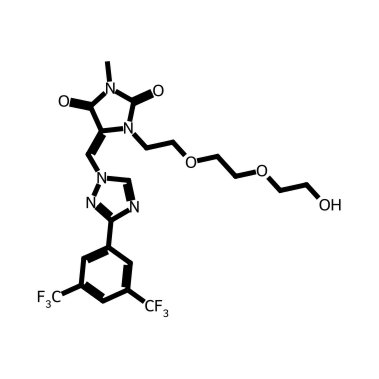 CN1C(=O)C(=Cn2cnc(-c3cc(C(F)(F)F)cc(C(F)(F)F)c3)n2)N(CCOCCOCCO)C1=O